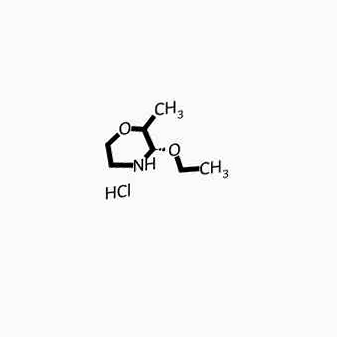 CCO[C@@H]1NCCOC1C.Cl